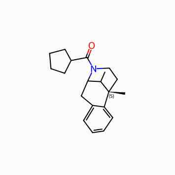 CC1C2Cc3ccccc3[C@@]1(C)CCN2C(=O)C1CCCC1